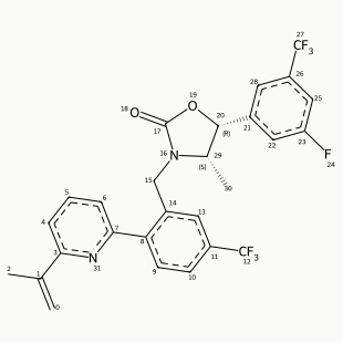 C=C(C)c1cccc(-c2ccc(C(F)(F)F)cc2CN2C(=O)O[C@H](c3cc(F)cc(C(F)(F)F)c3)[C@@H]2C)n1